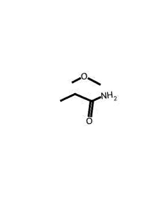 CCC(N)=O.COC